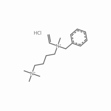 C=C[N+](C)(CCCC[N+](C)(C)C)Cc1ccccc1.Cl